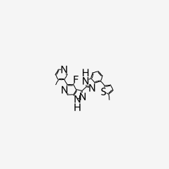 Cc1ccc(-c2cccc3[nH]c(-c4n[nH]c5cnc(-c6cnccc6C)c(F)c45)nc23)s1